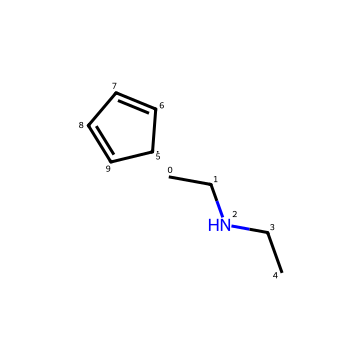 CCNCC.[CH]1C=CC=C1